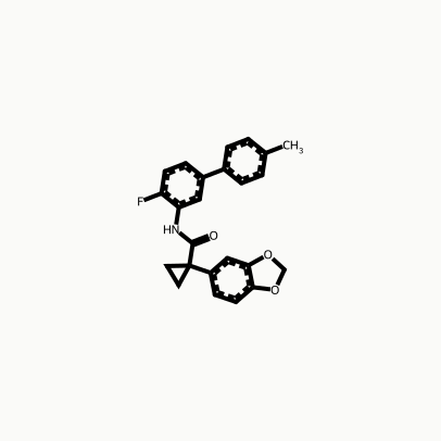 Cc1ccc(-c2ccc(F)c(NC(=O)C3(c4ccc5c(c4)OCO5)CC3)c2)cc1